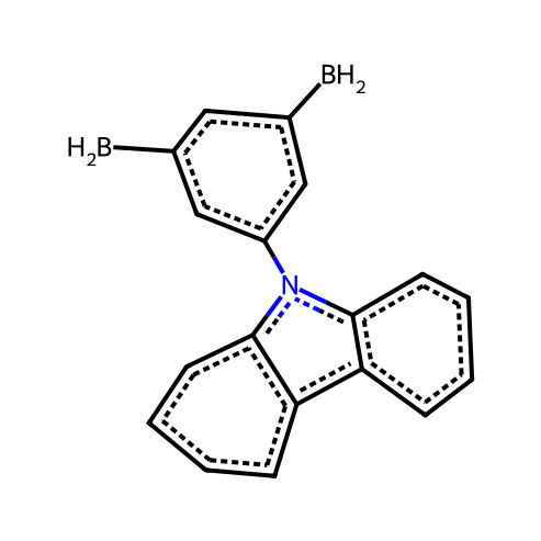 Bc1cc(B)cc(-n2c3ccccc3c3ccccc32)c1